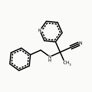 CC(C#N)(NCc1ccccc1)c1cccnc1